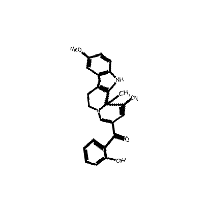 COc1ccc2[nH]c3c(c2c1)CCN1C=C(C(=O)c2ccccc2O)C=C(C#N)C31C